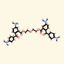 CN(C)c1ccc(C(=O)c2ccc(N(C)C)cc2C(=O)OCCOCCOC(=O)c2cc(N(C)C)ccc2C(=O)c2ccc(N(C)C)cc2)cc1